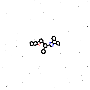 c1ccc(-c2cc(-c3cnc4c5ccccc5c5ccccc5c4n3)cc(-c3cccc4c3oc3cc5ccccc5cc34)c2)cc1